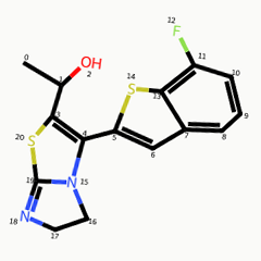 CC(O)C1=C(c2cc3cccc(F)c3s2)N2CCN=C2S1